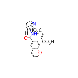 O=C(N[C@H]1CN2CCC1CC2)c1ccc2c(c1)C=CCO2.O=C(O)C=CC(=O)O